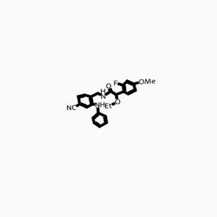 CCOC(C(=O)NCc1ccc(C#N)cc1Nc1ccccc1)c1ccc(OC)cc1F